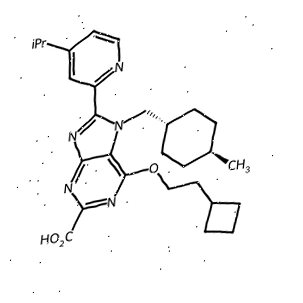 CC(C)c1ccnc(-c2nc3nc(C(=O)O)nc(OCCC4CCC4)c3n2C[C@H]2CC[C@H](C)CC2)c1